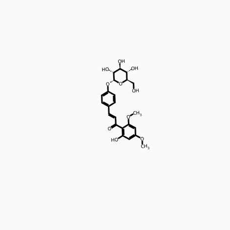 COc1cc(O)c(C(=O)C=Cc2ccc(O[C@H]3O[C@H](CO)[C@@H](O)[C@H](O)[C@H]3O)cc2)c(OC)c1